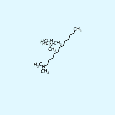 CCCCCCCCCCCCN(C)C.CNC.Cl.Cl